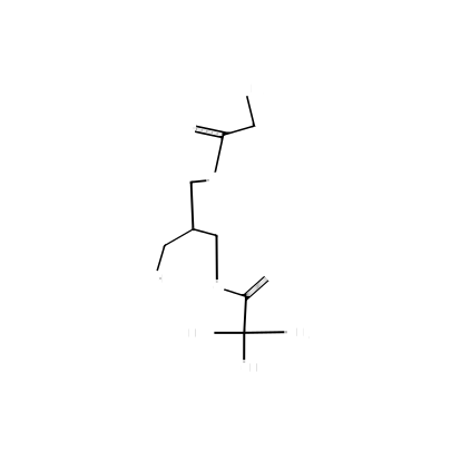 CCC(=O)OCC(CO)COC(=O)C(C)(C)C